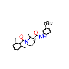 Cc1cccc(C)c1C(=O)N1CCC[C@H](C(=O)Nc2cccc(C(C)(C)C)c2)[C@@H]1C